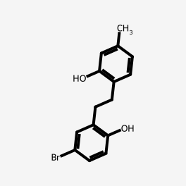 Cc1ccc(CCc2cc(Br)ccc2O)c(O)c1